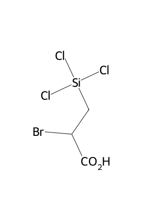 O=C(O)C(Br)C[Si](Cl)(Cl)Cl